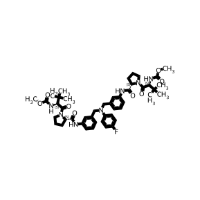 COC(=O)N[C@H](C(=O)N1CCC[C@H]1C(=O)Nc1cccc(CN(Cc2cccc(NC(=O)[C@@H]3CCCN3C(=O)[C@@H](NC(=O)OC)C(C)(C)C)c2)c2ccc(F)cc2)c1)C(C)(C)C